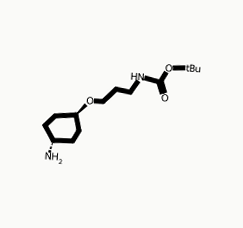 CC(C)(C)OC(=O)NCCCO[C@H]1CC[C@H](N)CC1